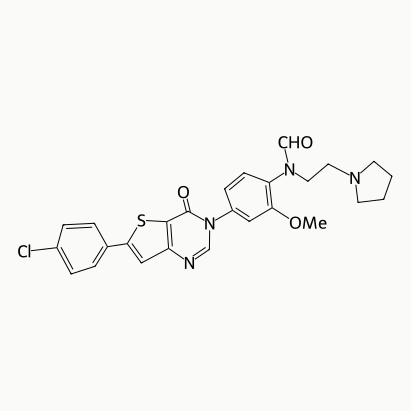 COc1cc(-n2cnc3cc(-c4ccc(Cl)cc4)sc3c2=O)ccc1N(C=O)CCN1CCCC1